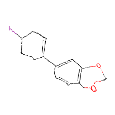 IC1CC=C(c2ccc3c(c2)OCO3)CC1